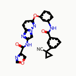 N#CC1(c2cccc(C(=O)Nc3cccc(Oc4ccc5nc(NC(=O)c6cocn6)cn5n4)c3)c2)CC1